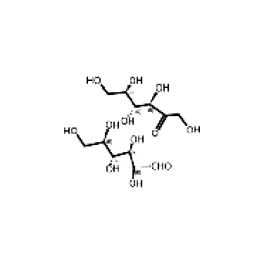 O=C(CO)[C@H](O)[C@H](O)[C@H](O)CO.O=C[C@H](O)[C@H](O)[C@H](O)[C@H](O)CO